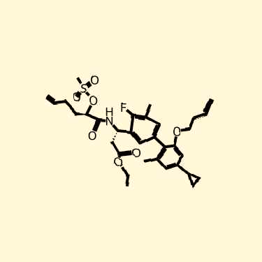 C=CCCOc1cc(C2CC2)cc(C)c1-c1cc(C)c(F)c([C@H](CC(=O)OCC)NC(=O)[C@@H](CCC=C)OS(C)(=O)=O)c1